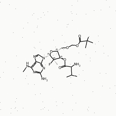 CNc1nc(N)nc2c1ncn2[C@@H]1O[C@H](COCOC(=O)C(C)(C)C)[C@@H](OC(=O)C(N)C(C)C)[C@@]1(C)F